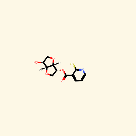 O=C(O[C@@H]1CO[C@H]2[C@@H]1OC[C@@H]2O)c1cccnc1S